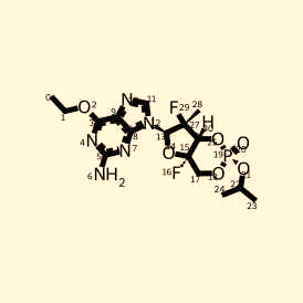 CCOc1nc(N)nc2c1ncn2[C@@H]1O[C@]2(F)CO[P@](=O)(OC(C)C)O[C@H]2[C@@]1(C)F